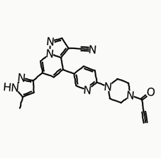 C#CC(=O)N1CCN(c2ccc(-c3cc(-c4cc(C)[nH]n4)cn4ncc(C#N)c34)cn2)CC1